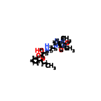 CCCC(=O)c1ccccc1OCC(O)CNCCCn1cnc2c1c(=O)n(C)c(=O)n2C